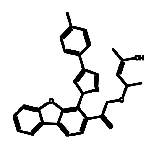 C=C(COC(C)/C=C(/C)O)c1ccc2c(oc3ccccc32)c1C1C=C(c2ccc(C)cc2)C=N1